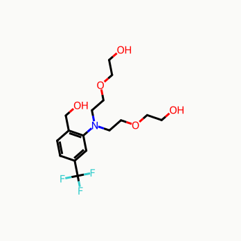 OCCOCCN(CCOCCO)c1cc(C(F)(F)F)ccc1CO